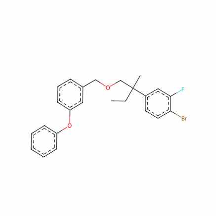 CCC(C)(COCc1cccc(Oc2ccccc2)c1)c1ccc(Br)c(F)c1